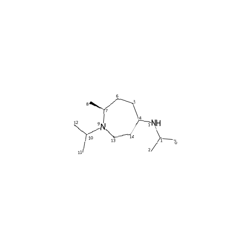 CC(C)NC1CC[C@H](C)N(C(C)C)CC1